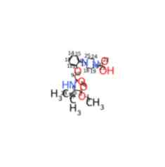 CCOC(=O)C(NC(=O)COc1ccccc1N1CCN(C(=O)O)CC1)C(C)C